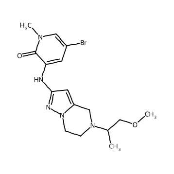 COCC(C)N1CCn2nc(Nc3cc(Br)cn(C)c3=O)cc2C1